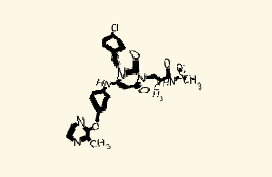 Cc1nccnc1Oc1ccc(Nc2cc(=O)n(C[C@H](C)C(=O)N[S+](C)[O-])c(=O)n2Cc2ccc(Cl)cc2)cc1